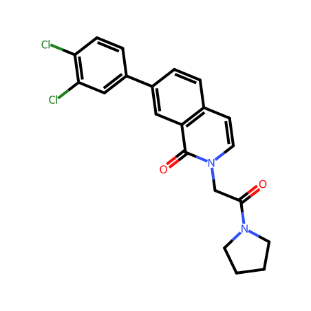 O=C(Cn1ccc2ccc(-c3ccc(Cl)c(Cl)c3)cc2c1=O)N1CCCC1